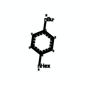 CCC[CH]c1ccc(CCCCCC)cc1